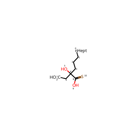 CCCCCCCCCCC(O)(CC(=O)O)C(O)=S